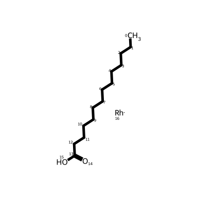 CCCCCCCCCCCCCC(=O)O.[Rh]